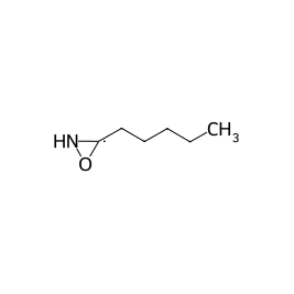 CCCCC[C]1NO1